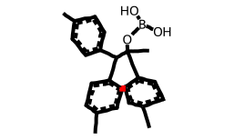 Cc1ccc(C(c2ccc(C)cc2)C(C)(OB(O)O)c2ccc(C)cc2)cc1